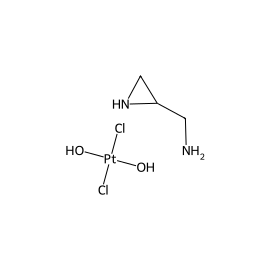 NCC1CN1.[OH][Pt]([OH])([Cl])[Cl]